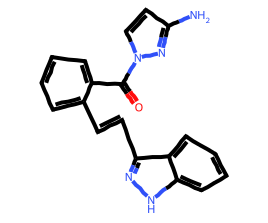 Nc1ccn(C(=O)c2ccccc2/C=C/c2n[nH]c3ccccc23)n1